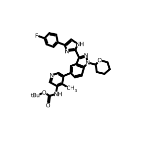 Cc1c(NC(=O)OC(C)(C)C)cncc1-c1ccc2c(c1)c(-c1nc(-c3ccc(F)cc3)c[nH]1)nn2C1CCCCO1